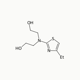 CCc1csc(N(CCO)CCO)n1